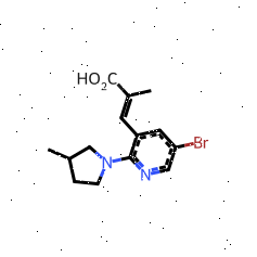 C/C(=C\c1cc(Br)cnc1N1CCC(C)C1)C(=O)O